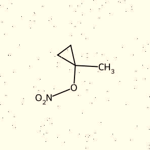 CC1(O[N+](=O)[O-])CC1